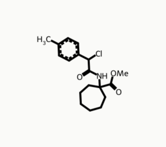 COC(=O)C1(NC(=O)C(Cl)c2ccc(C)cc2)CCCCCC1